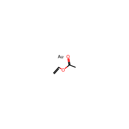 C=COC(C)=O.[Au]